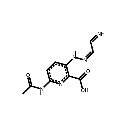 CC(=O)Nc1ccc(N/N=C\C=N)c(C(=O)O)n1